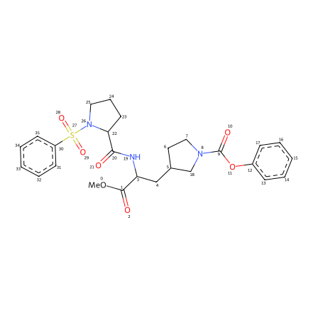 COC(=O)C(CC1CCN(C(=O)Oc2ccccc2)C1)NC(=O)C1CCCN1S(=O)(=O)c1ccccc1